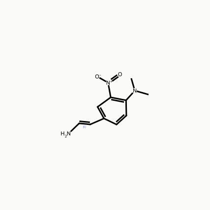 CN(C)c1ccc(/C=C/N)cc1[N+](=O)[O-]